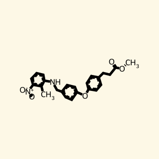 COC(=O)CCc1ccc(Oc2ccc(CNc3cccc([N+](=O)[O-])c3C)cc2)cc1